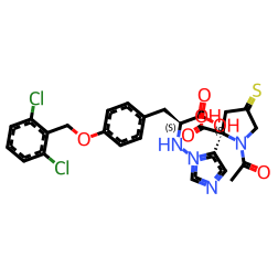 CC(=O)N1CC(=S)C[C@@]1(C(=O)O)c1cncn1N[C@@H](Cc1ccc(OCc2c(Cl)cccc2Cl)cc1)C(=O)O